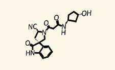 N#C[C@@H]1C[C@@]2(CN1C(=O)CC(=O)N[C@H]1CC[C@H](O)C1)C(=O)Nc1ccccc12